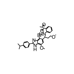 COCCC(Nc1ccccc1S(C)(=O)=O)c1cc(OC)c2[nH]c(-c3ccc(C(C)C)cc3)nc2c1Br